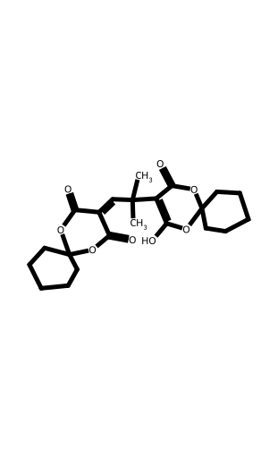 CC(C)(C=C1C(=O)OC2(CCCCC2)OC1=O)C1=C(O)OC2(CCCCC2)OC1=O